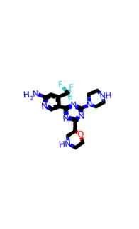 Nc1cc(C(F)(F)F)c(-c2nc(C3CNCCO3)nc(N3CCNCC3)n2)cn1